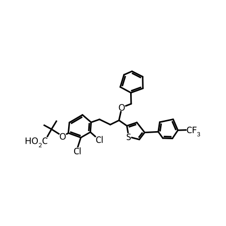 CC(C)(Oc1ccc(CCC(OCc2ccccc2)c2cc(-c3ccc(C(F)(F)F)cc3)cs2)c(Cl)c1Cl)C(=O)O